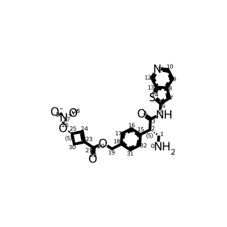 NC[C@@H](C(=O)Nc1cc2ccncc2s1)c1ccc(COC(=O)C2=C[C@@H](O[N+](=O)[O-])C2)cc1